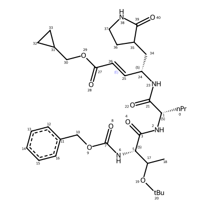 CCC[C@H](NC(=O)[C@@H](NC(=O)OCc1ccccc1)C(C)OC(C)(C)C)C(=O)N[C@H](/C=C/C(=O)OCC1CC1)CC1CCNC1=O